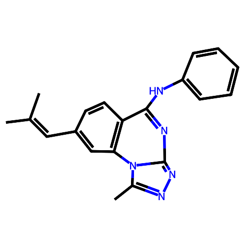 CC(C)=Cc1ccc2c(Nc3ccccc3)nc3nnc(C)n3c2c1